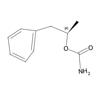 C[C@H](Cc1ccccc1)OC(N)=O